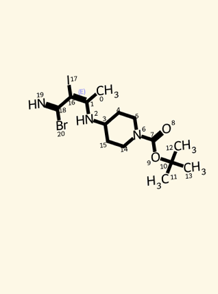 C/C(NC1CCN(C(=O)OC(C)(C)C)CC1)=C(\I)C(=N)Br